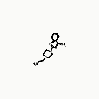 NCCN1CCN(c2nc(N)c3ccccc3n2)CC1